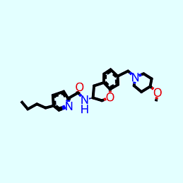 CCCCc1ccc(C(=O)N[C@H]2COc3cc(CN4CCC(OC)CC4)ccc3C2)nc1